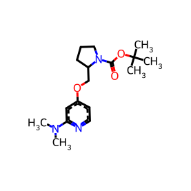 CN(C)c1cc(OCC2CCCN2C(=O)OC(C)(C)C)ccn1